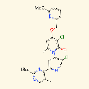 COc1cccc(COc2cc(C)n(-c3cc(-c4nc(C(C)(C)C)ncc4C)ncc3Cl)c(=O)c2Cl)n1